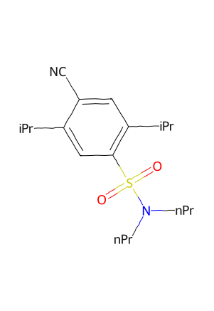 CCCN(CCC)S(=O)(=O)c1cc(C(C)C)c(C#N)cc1C(C)C